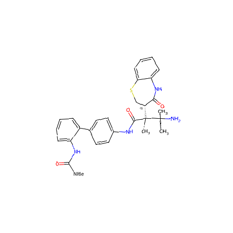 CNC(=O)Nc1ccccc1-c1ccc(NC(=O)C(C)([C@@H]2CSc3ccccc3NC2=O)C(C)(C)N)cc1